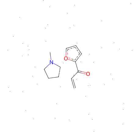 C=CC(=O)c1ccco1.CN1CCCC1